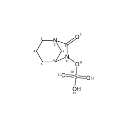 O=C1N2CCCC(C2)N1OS(=O)(=O)O